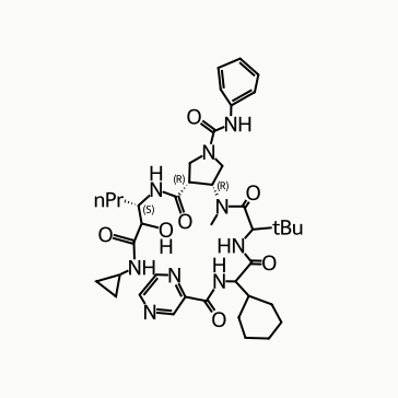 CCC[C@H](NC(=O)[C@@H]1CN(C(=O)Nc2ccccc2)C[C@@H]1N(C)C(=O)C(NC(=O)C(NC(=O)c1cnccn1)C1CCCCC1)C(C)(C)C)C(O)C(=O)NC1CC1